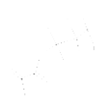 C=C(C)C(=O)OC(F)(F)C(F)(F)C(C)(F)F